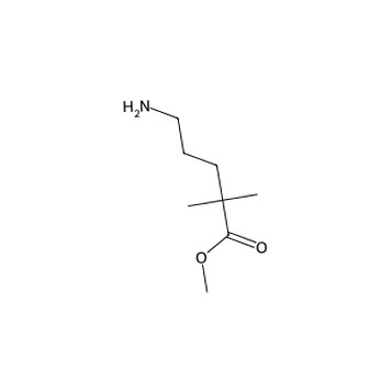 COC(=O)C(C)(C)CCCN